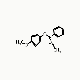 CCOP(Oc1ccc(OC)cc1)c1ccccc1